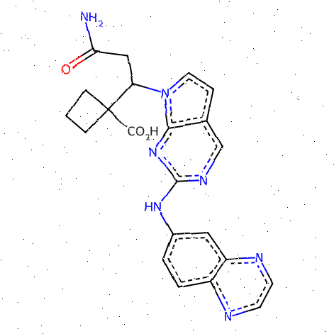 NC(=O)CC(n1ccc2cnc(Nc3ccc4nccnc4c3)nc21)C1(C(=O)O)CCC1